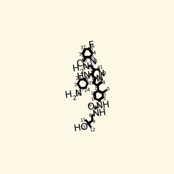 Cc1cc(NC(=O)NCCC(C)(C)O)ccc1-c1cc2c(N[C@H]3CC[C@H](N)CC3)c(/C(N)=N/c3cc(F)ccc3Cl)cnn2c1